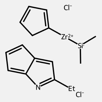 CCC1=NC2=CC=CC2=C1.C[Si](C)[Zr+2][C]1=CC=CC1.[Cl-].[Cl-]